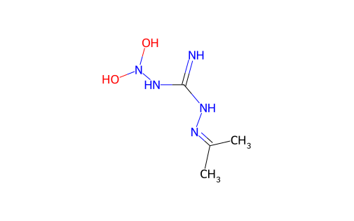 CC(C)=NNC(=N)NN(O)O